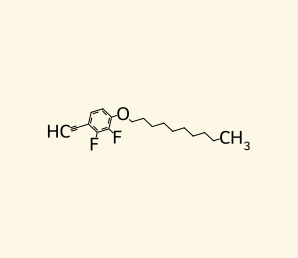 C#Cc1ccc(OCCCCCCCCCC)c(F)c1F